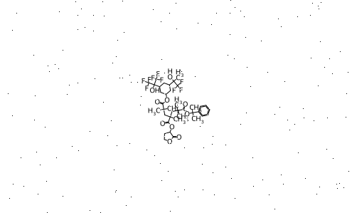 CC(C)(CC(C)(CC(C)(C)C(=O)OC(C)(C)c1ccccc1)C(=O)OC1CCOC1=O)C(=O)OC1CC(C(C)(O)C(F)(F)F)CC(C(O)(C(F)(F)F)C(F)(F)F)C1